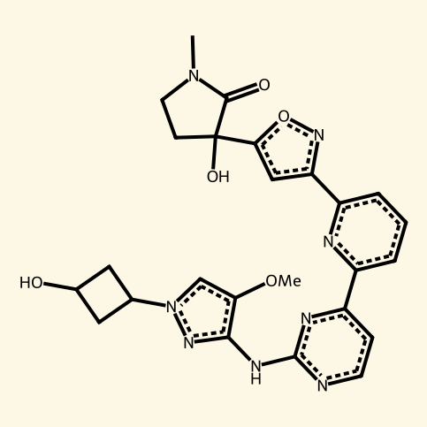 COc1cn(C2CC(O)C2)nc1Nc1nccc(-c2cccc(-c3cc(C4(O)CCN(C)C4=O)on3)n2)n1